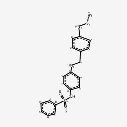 CC(C)SNc1ccc(CNc2ccc(NS(=O)(=O)c3ccccc3)cc2)cc1